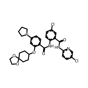 O=C(Nc1ccc(Cl)cn1)c1cc(Cl)ccc1NC(=O)c1ccc(N2CCCC2)cc1OC1CCC2(CC1)OCCO2